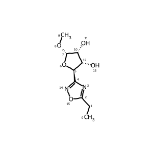 CCc1nc([C@H]2O[C@H](OC)[C@H](O)[C@@H]2O)no1